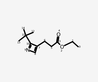 CCOC(=O)CCC1=CN=C1C(C)(C)C